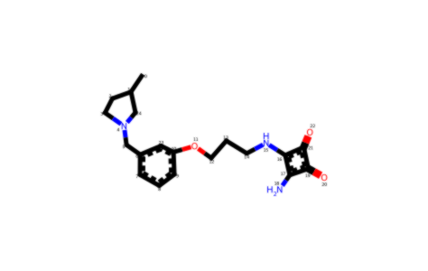 CC1CCN(Cc2cccc(OCCCNc3c(N)c(=O)c3=O)c2)C1